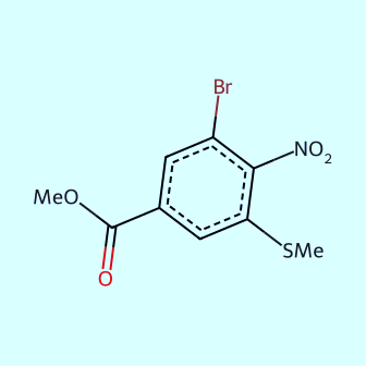 COC(=O)c1cc(Br)c([N+](=O)[O-])c(SC)c1